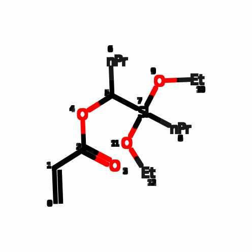 C=CC(=O)OC(CCC)[Si](CCC)(OCC)OCC